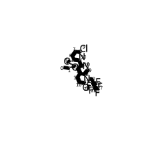 CCS(=O)(=O)c1ccc(Cl)nc1-c1cc2ccc(=O)n(CC(F)(F)C(F)(F)F)c2cn1